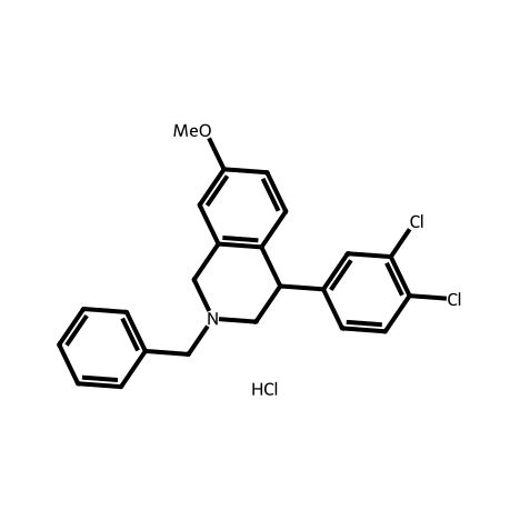 COc1ccc2c(c1)CN(Cc1ccccc1)CC2c1ccc(Cl)c(Cl)c1.Cl